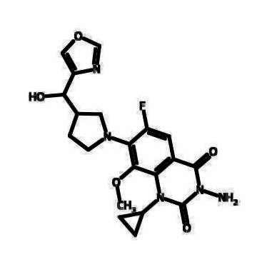 COc1c(N2CCC(C(O)c3cocn3)C2)c(F)cc2c(=O)n(N)c(=O)n(C3CC3)c12